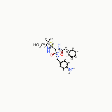 CN(C)c1ccc(CNC(=O)[C@@H](NC(=O)Cc2ccccc2)[C@@H]2N[C@@H](C(=O)O)C(C)(C)S2)cc1